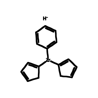 C1=CC[C]([Zr]([C]2=CC=CC2)[c]2ccccc2)=C1.[H-]